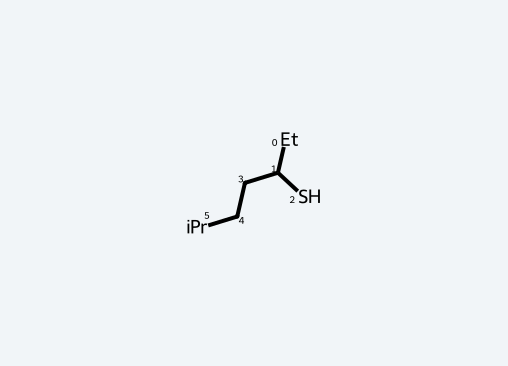 [CH2]CC(S)CCC(C)C